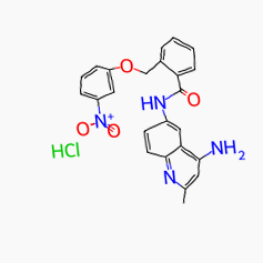 Cc1cc(N)c2cc(NC(=O)c3ccccc3COc3cccc([N+](=O)[O-])c3)ccc2n1.Cl